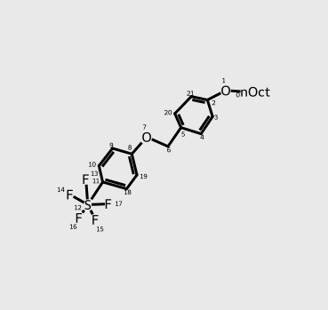 CCCCCCCCOc1ccc(COc2ccc(S(F)(F)(F)(F)F)cc2)cc1